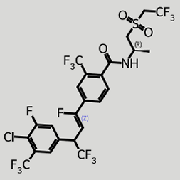 C[C@H](CS(=O)(=O)CC(F)(F)F)NC(=O)c1ccc(/C(F)=C/C(c2cc(F)c(Cl)c(C(F)(F)F)c2)C(F)(F)F)cc1C(F)(F)F